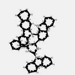 c1ccc(-c2nc(-c3ccc4c(oc5ccccc54)c3-n3c4ccccc4c4cc5ccccc5cc43)nc(-n3c4ccccc4c4ccccc43)n2)cc1